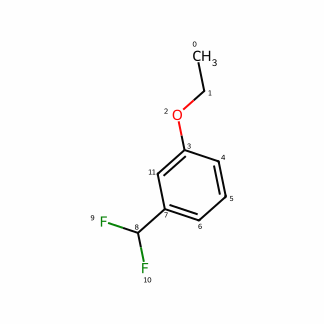 CCOc1cccc(C(F)F)c1